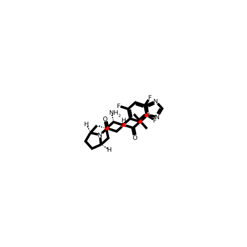 CC(C)(C(=O)NCC(=O)N1[C@@H]2CC[C@H]1C[C@H]([C@H](N)Cc1cc(F)c(F)cc1F)C2)n1cncn1